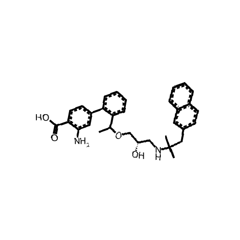 CC(OC[C@@H](O)CNC(C)(C)Cc1ccc2ccccc2c1)c1ccccc1-c1ccc(C(=O)O)c(N)c1